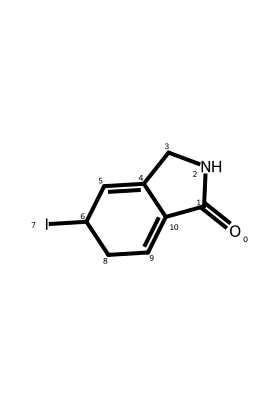 O=C1NCC2=CC(I)CC=C12